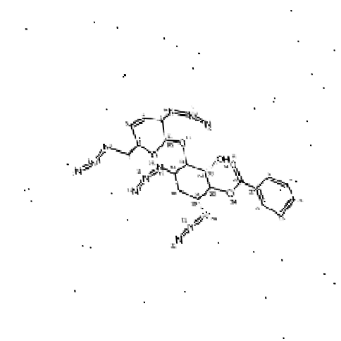 [N-]=[N+]=NCC1C=CC(N=[N+]=[N-])[C@@H](OC2C(N=[N+]=[N-])C[C@@H](N=[N+]=[N-])C(OC(=O)c3ccccc3)[C@H]2O)O1